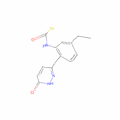 CCc1ccc(-c2ccc(=O)[nH]n2)c(NC(=O)S)c1